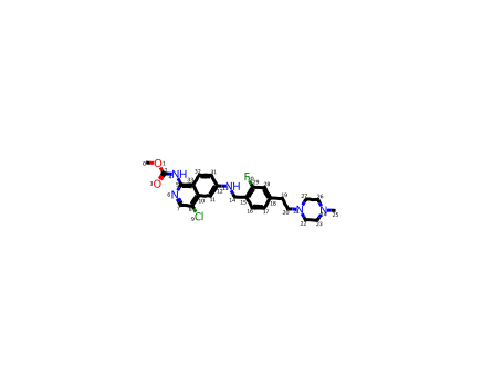 COC(=O)Nc1ncc(Cl)c2cc(NCc3ccc(CCN4CCN(C)CC4)cc3F)ccc12